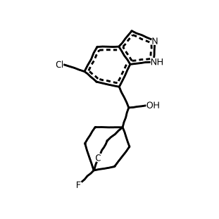 OC(c1cc(Cl)cc2cn[nH]c12)C12CCC(F)(CC1)CC2